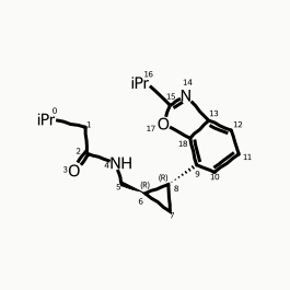 CC(C)CC(=O)NC[C@@H]1C[C@H]1c1cccc2nc(C(C)C)oc12